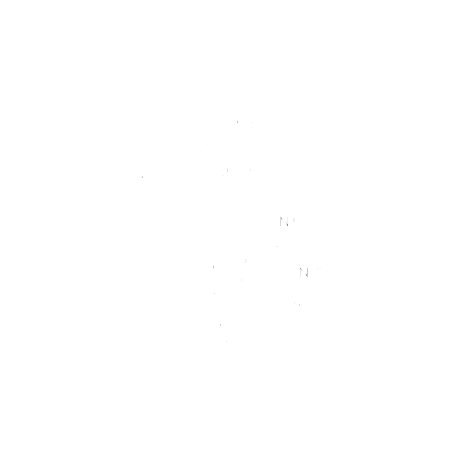 CC(=O)OC1CCCn2c1c(Sc1ccccc1)c1c(S(C)(=O)=O)ccnc12